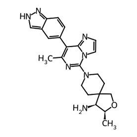 Cc1nc(N2CCC3(CC2)CO[C@@H](C)[C@H]3N)n2ccnc2c1-c1ccc2n[nH]cc2c1